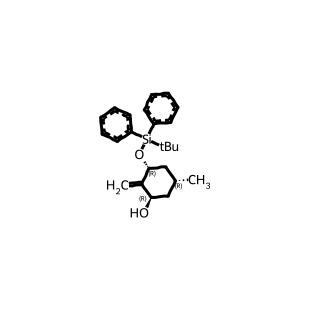 C=C1[C@H](O)C[C@@H](C)C[C@H]1O[Si](c1ccccc1)(c1ccccc1)C(C)(C)C